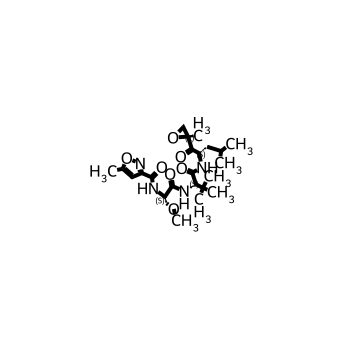 COC[C@H](NC(=O)c1cc(C)on1)C(=O)N[C@H](C(=O)N[C@@H](CC(C)C)C(=O)[C@@]1(C)CO1)C(C)(C)C